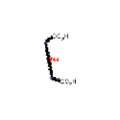 O=C(O)CCCC/C=C\CCCCCCCCC(O)CCCCCCCC/C=C\CCCCC(=O)O